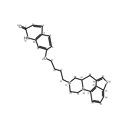 O=c1ccc2ccc(OCCCCN3CCN4c5cccc6scc(c56)CC4C3)cc2[nH]1